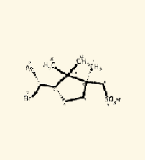 CC(=O)[C@@H](Br)[C@H]1CC[C@](C)(CS(=O)(=O)O)C1(C)C